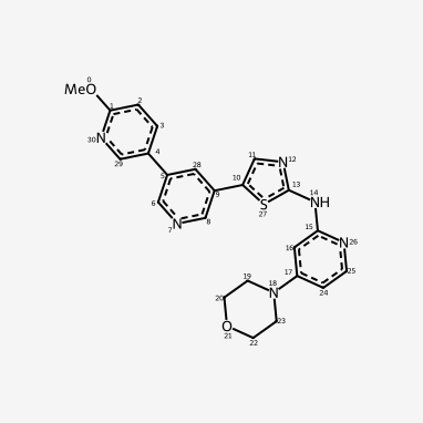 COc1ccc(-c2cncc(-c3cnc(Nc4cc(N5CCOCC5)ccn4)s3)c2)cn1